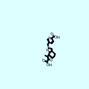 Cc1c(C(=O)O)oc2c1-c1nn(Cc3ccc(C(=O)O)nc3)cc1CC2